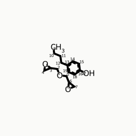 C(OCC1CO1)C1CO1.CCCCc1ccc(O)cc1